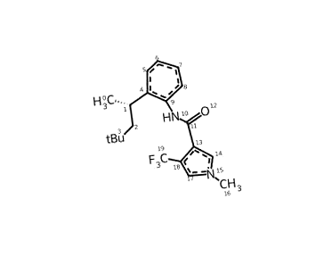 C[C@@H](CC(C)(C)C)c1ccccc1NC(=O)c1cn(C)cc1C(F)(F)F